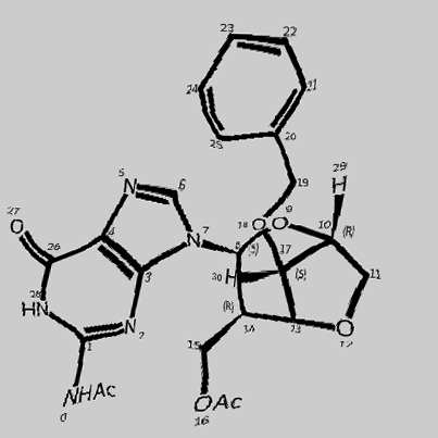 CC(=O)Nc1nc2c(ncn2[C@H]2O[C@@H]3COC([C@H]2COC(C)=O)[C@@H]3OCc2ccccc2)c(=O)[nH]1